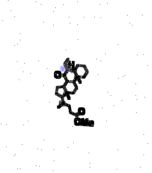 C/C=C1/C(=O)C2C3CCC([C@H](C)CCC(=O)OC)[C@@]3(C)CCC2[C@@]2(C)CCCC[C@@H]12